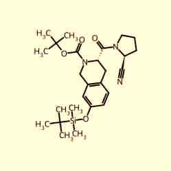 CC(C)(C)OC(=O)N1Cc2cc(O[Si](C)(C)C(C)(C)C)ccc2C[C@H]1C(=O)N1CCC[C@H]1C#N